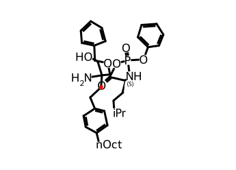 CCCCCCCCc1ccc(CCC(N)(CO)COP(=O)(N[C@@H](CCC(C)C)C(=O)OCc2ccccc2)Oc2ccccc2)cc1